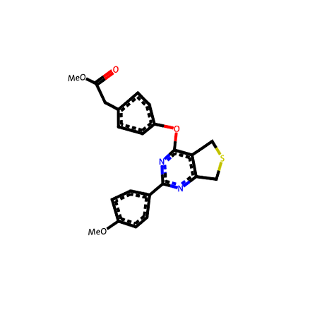 COC(=O)Cc1ccc(Oc2nc(-c3ccc(OC)cc3)nc3c2CSC3)cc1